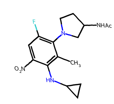 CC(=O)NC1CCN(c2c(F)cc([N+](=O)[O-])c(NC3CC3)c2C)C1